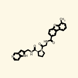 Cc1cccc2c1oc1ccc(C(=O)NCC(=O)N3CCC[C@H]3C(=O)NCc3cc4cnccc4[nH]3)cc12